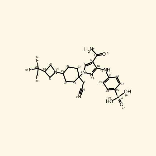 N#CCC1(n2cc(C(N)=O)c(Nc3ccc(P(=O)(O)O)cc3)n2)CCC(N2CC(C(F)(F)F)C2)CC1